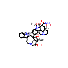 CC[C@]1(O)C[C@H]2CN(CCc3c([nH]c4ccccc34)C[C@@]2(C(=O)OC)c2cc3c(cc2OC)N(C)[C@H]2[C@@](O)(C(N)=O)[C@H](O)[C@]4(CC)C=CCN5CC[C@]32C54)C1